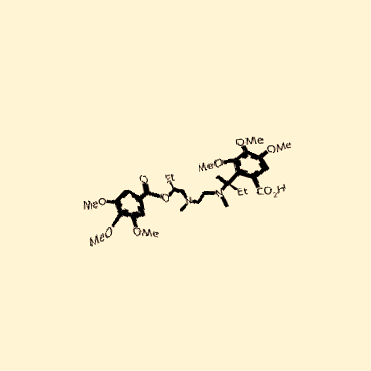 CC[C@@H](CN(C)CCN(C)[C@@](C)(CC)c1c(C(=O)O)cc(OC)c(OC)c1OC)OC(=O)c1cc(OC)c(OC)c(OC)c1